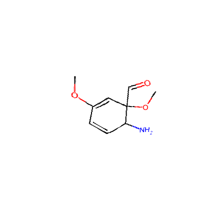 COC1=CC(C=O)(OC)C(N)C=C1